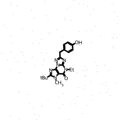 CCn1c(=O)c2c(nc(C(C)(C)C)n2C)n2nc(Cc3ccc(O)cc3)nc12